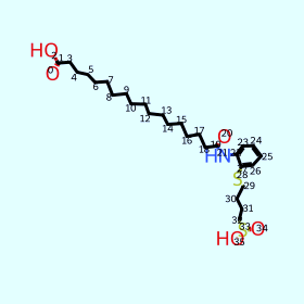 O=C(O)CCCCCCCCCCCCCCCCC(=O)Nc1ccccc1SCCCCS(=O)O